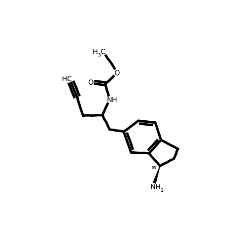 C#CCC(Cc1ccc2c(c1)[C@H](N)CC2)NC(=O)OC